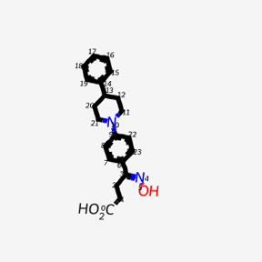 O=C(O)CCC(=NO)c1ccc(N2CCC(c3ccccc3)CC2)cc1